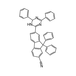 N#Cc1ccc2c(c1)C(c1ccccc1)(c1ccccc1)c1cc(C3=NC(c4ccccc4)=NC(c4ccccc4)N3)ccc1-2